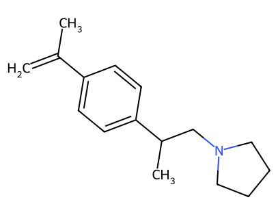 C=C(C)c1ccc(C(C)CN2CCCC2)cc1